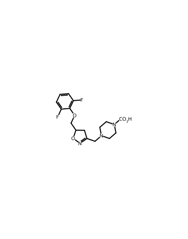 O=C(O)N1CCN(CC2=NOC(COc3c(F)cccc3F)C2)CC1